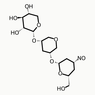 O=N[C@@H]1C[C@H](CO)O[C@H](O[C@H]2COC[C@@H](O[C@H]3OC[C@@H](O)[C@H](O)[C@H]3O)C2)C1